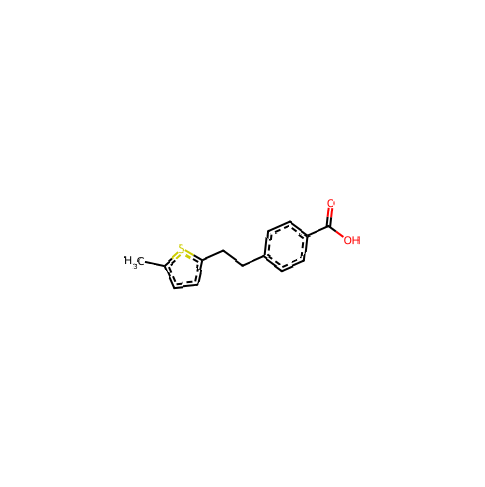 Cc1ccc(CCc2ccc(C(=O)O)cc2)s1